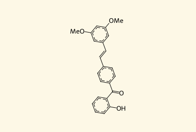 COc1cc(/C=C/c2ccc(C(=O)c3ccccc3O)cc2)cc(OC)c1